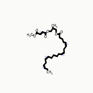 CC/C=C\C/C=C\CCCC/C=C\C/C=C\CCCC(=O)OCC(C)COC(=O)/C=C/C(=O)OC